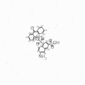 Nc1ccc2c(S(=O)(=O)O)cc(S(=O)(=O)O)cc2c1.Nc1ccccc1C(=O)c1ccccc1